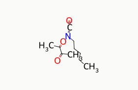 CC(=O)C(C)=O.CCCCCN=C=O